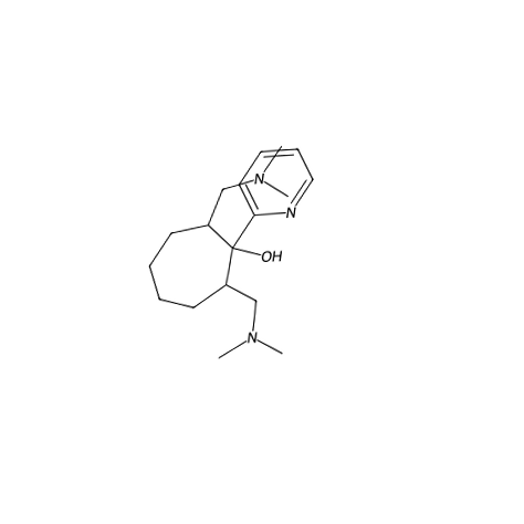 CN(C)CC1CCCCC(CN(C)C)C1(O)c1ccccn1